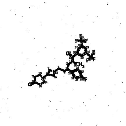 CN(CC(CCN1CC(N2CCC(=O)CC2)C1)c1ccc(F)cc1)C(=O)c1cc(C(F)(F)F)cc(C(F)(F)F)c1